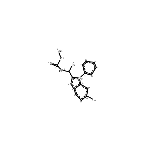 CCC(NC(=O)OC(C)(C)C)c1nc2ccc(F)cc2n1-c1ccccc1